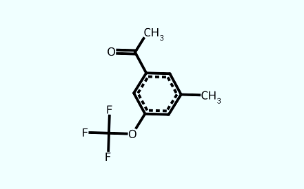 CC(=O)c1cc(C)cc(OC(F)(F)F)c1